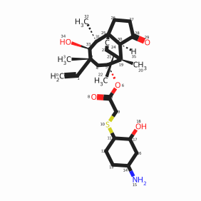 C=C[C@@]1(C)C[C@@H](OC(=O)CSC2CCC(N)CC2O)[C@]2(C)[C@H](C)CC[C@]3(CCC(=O)[C@H]32)[C@@H](C)[C@@H]1O